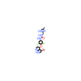 Cc1c[nH]c(CNC(=O)Nc2cc(F)c(Oc3ccnc4[nH]cc(Br)c34)c(F)c2)n1